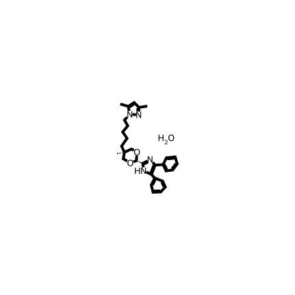 Cc1cc(C)n(CCCCC[C@]2(C)CO[C@@H](c3nc(-c4ccccc4)c(-c4ccccc4)[nH]3)OC2)n1.O